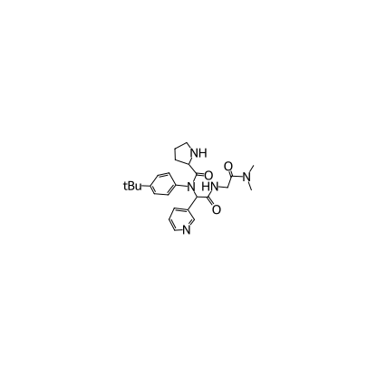 CN(C)C(=O)CNC(=O)C(c1cccnc1)N(C(=O)C1CCCN1)c1ccc(C(C)(C)C)cc1